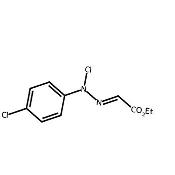 CCOC(=O)C=NN(Cl)c1ccc(Cl)cc1